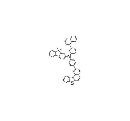 CC1(C)c2ccccc2-c2ccc(N(c3ccc(-c4ccc5c(c4)C4c6ccccc6SC4C=C5)cc3)c3cccc(-c4cccc5ccccc45)c3)cc21